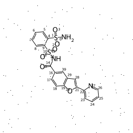 NS(=O)(=O)c1ccccc1S(=O)(=O)NC(=O)c1ccc2oc(-c3ccccn3)cc2c1